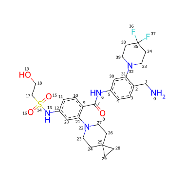 NCc1ccc(NC(=O)c2ccc(NS(=O)(=O)CCO)cc2N2CCC3(CC2)CC3)cc1N1CCC(F)(F)CC1